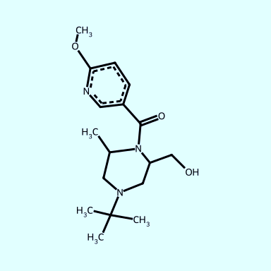 COc1ccc(C(=O)N2C(C)CN(C(C)(C)C)CC2CO)cn1